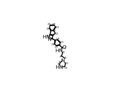 O=C(NCCCN1CCNCC1)c1ccc(-c2n[nH]c3c2Cc2ccccc2-3)cc1